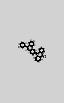 O=C1c2ccccc2N(c2ccc(C=C(c3ccccc3)c3ccccc3)cc2)C2C=CC=CC12